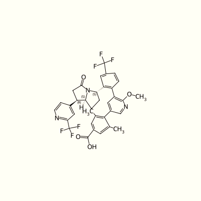 COc1ncc(-c2c(C)cc(C(=O)O)cc2C)cc1-c1ccc(C(F)(F)F)cc1[C@@H]1CC[C@H]2[C@@H](c3ccnc(C(F)(F)F)c3)CC(=O)N12